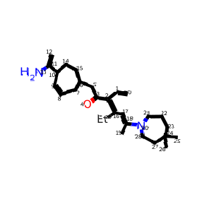 C=C/C(C(=O)CC1CC=CC(C(=C)N)CC1)=C(\C=C(/C)N1CCCC(C)(C)CC1)CC